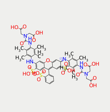 Cc1c(C)c(NC(=O)N(CC(=O)O)CC(=O)O)c(C)c(C)c1/N=c1/cc2oc3cc(Nc4c(C)c(C)c(NC(=O)N(CC(=O)O)CC(=O)O)c(C)c4C)c(S(=O)(=O)O)cc3c(-c3ccccc3S(=O)(=O)O)c-2cc1S(=O)(=O)O